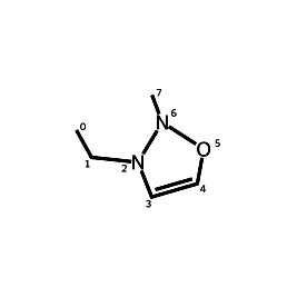 CCN1C=CON1C